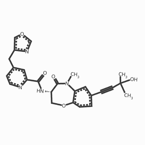 CN1C(=O)[C@@H](NC(=O)c2cc(Cc3cocn3)ccn2)COc2ccc(C#CC(C)(C)O)cc21